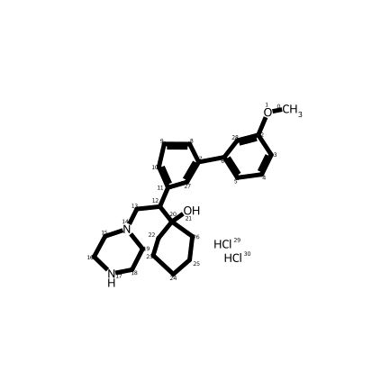 COc1cccc(-c2cccc(C(CN3CCNCC3)C3(O)CCCCC3)c2)c1.Cl.Cl